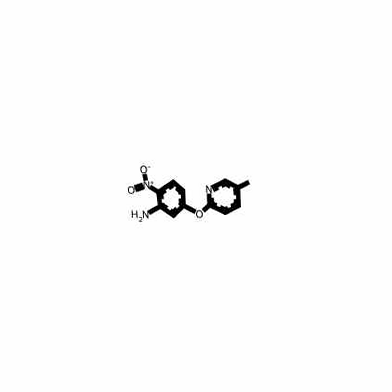 Cc1ccc(Oc2ccc([N+](=O)[O-])c(N)c2)nc1